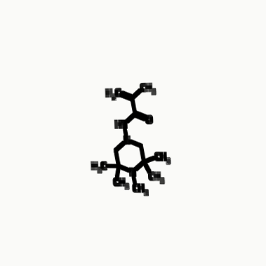 C=C(C)C(=O)NN1CC(C)(C)N(C)C(C)(C)C1